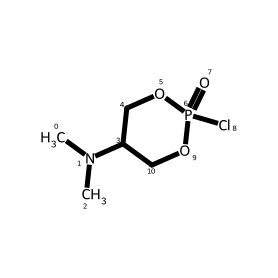 CN(C)C1COP(=O)(Cl)OC1